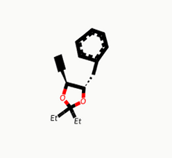 C#C[C@@H]1OC(CC)(CC)O[C@H]1Cc1ccccc1